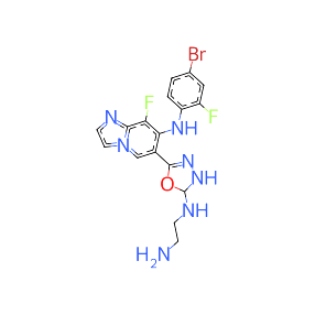 NCCNC1NN=C(c2cn3ccnc3c(F)c2Nc2ccc(Br)cc2F)O1